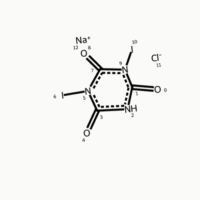 O=c1[nH]c(=O)n(I)c(=O)n1I.[Cl-].[Na+]